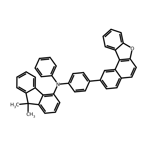 CC1(C)c2ccccc2-c2c(N(c3ccccc3)c3ccc(-c4ccc5ccc6oc7ccccc7c6c5c4)cc3)cccc21